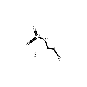 [K+].[O]CCO[S-](=O)=O